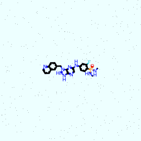 CNP(=O)(NC)c1ccc(Nc2cnc3c(n2)N(Cc2ccc4ncccc4c2)NN3)cc1F